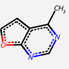 Cc1ncnc2occc12